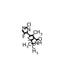 Cc1c(-c2nc(Cl)ncc2F)sc2c1C(=O)NC2(C)C